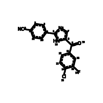 N#Cc1ccc(-c2ncc(C(=O)c3ccc(Cl)c(F)c3)[nH]2)cc1